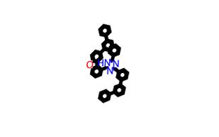 c1ccc(-c2cccc(-c3cccc(C4=NC(c5ccccc5)NC(c5cccc6oc7ccc(-c8cccc(-c9ccccc9)c8)cc7c56)=N4)c3)c2)cc1